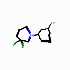 CC(C)C1CCCC(N2CCCC(F)(F)C2)C1